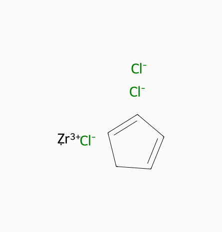 C1=CCC=C1.[Cl-].[Cl-].[Cl-].[Zr+3]